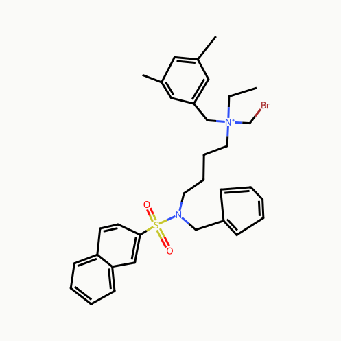 CC[N+](CBr)(CCCCN(Cc1ccccc1)S(=O)(=O)c1ccc2ccccc2c1)Cc1cc(C)cc(C)c1